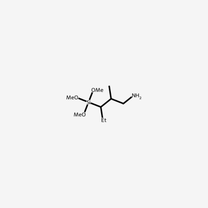 CCC(C(C)CN)[Si](OC)(OC)OC